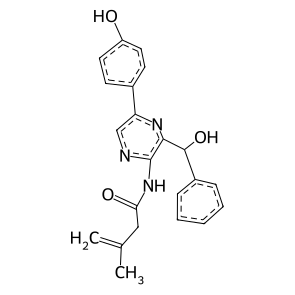 C=C(C)CC(=O)Nc1ncc(-c2ccc(O)cc2)nc1C(O)c1ccccc1